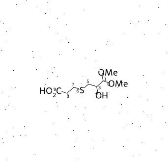 COC(OC)C(O)CSCCC(=O)O